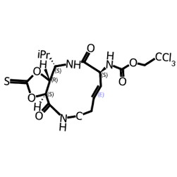 CC(C)[C@@H]1NC(=O)[C@@H](NC(=O)OCC(Cl)(Cl)Cl)/C=C/CCNC(=O)[C@H]2OC(=S)O[C@@H]21